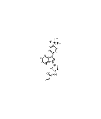 C=CC(=O)NC1CCN(c2nn(-c3ccc(C(F)(F)F)cc3)c3cccnc23)C1